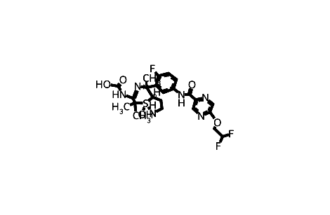 CC1(C)C(NC(=O)O)=N[C@](C)(c2cc(NC(=O)c3cnc(OCC(F)F)cn3)ccc2F)[C@@H]2CCNS21O